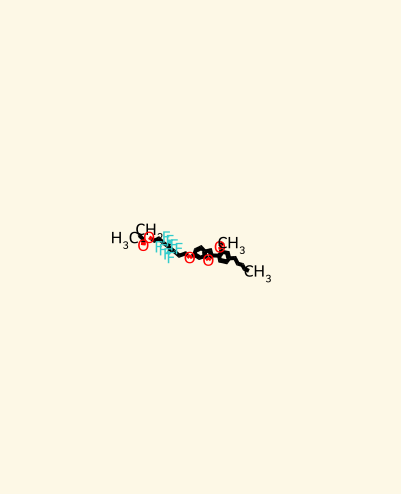 C=C(C)C(=O)OCCC(F)(F)C(F)(F)C(F)(F)C(F)(F)CCOc1ccc2cc(-c3ccc(CCCCC)cc3OC)oc2c1